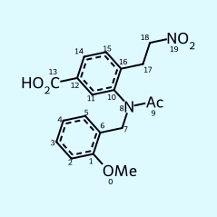 COc1ccccc1CN(C(C)=O)c1cc(C(=O)O)ccc1CC[N+](=O)[O-]